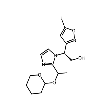 CC(OC1CCCCO1)c1nccn1[C@H](CO)c1cc(I)on1